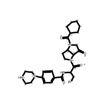 CC(C)CC(NC(=O)c1ccc(N2CCNCC2)cc1)C(=O)N1CCC2C1C(=O)CN2C(=O)C1CCCCC1